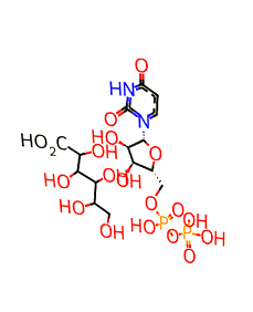 O=C(O)C(O)C(O)C(O)C(O)CO.O=c1ccn([C@@H]2O[C@H](COP(=O)(O)OP(=O)(O)O)[C@@H](O)[C@H]2O)c(=O)[nH]1